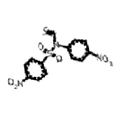 O=[N+]([O-])c1ccc(N([C]=S)S(=O)(=O)c2ccc([N+](=O)[O-])cc2)cc1